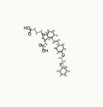 O=C(O)CCCn1cc(CC(=O)O)c2c(C=Cc3ccc(OCCSc4ccccc4)cc3)cccc21